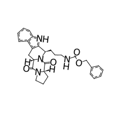 O=C(NCCC[C@@H]1c2[nH]c3ccccc3c2C[C@H]2C(=O)N3CCC[C@H]3C(=O)N12)OCc1ccccc1